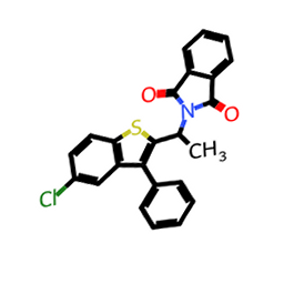 CC(c1sc2ccc(Cl)cc2c1-c1ccccc1)N1C(=O)c2ccccc2C1=O